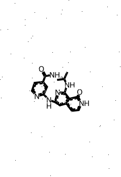 CC(C)Nc1nc(Nc2cc(C(N)=O)ccn2)cc2cc[nH]c(=O)c12